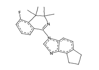 CC1(C)N=C(n2cnc3c4c(ccc32)CCC4)c2cccc(F)c2C1(C)C